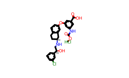 COC(=O)Nc1cc(Oc2ccc3c(c2)C[C@@H](NC[C@@H](O)c2cccc(Cl)c2)CC3)cc(C(=O)O)c1.Cl